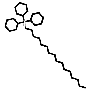 CCCCCCCCCCCCCCCC[PH](C1CCCCC1)(C1CCCCC1)C1CCCCC1